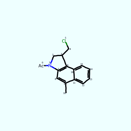 CC(=O)N1CC(CCl)c2c1cc(C)c1ccccc21